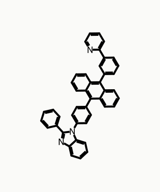 c1ccc(-c2nc3ccccc3n2-c2ccc(-c3c4ccccc4c(-c4cccc(-c5ccccn5)c4)c4ccccc34)cc2)cc1